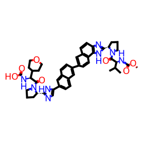 COC(=O)N[C@H](C(=O)N1CCC[C@H]1c1nc2ccc3cc(-c4ccc5cc(-c6cnc([C@@H]7CCCN7C(=O)[C@@H](NC(=O)O)C7CCOCC7)[nH]6)ccc5c4)ccc3c2[nH]1)C(C)C